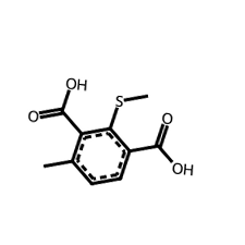 CSc1c(C(=O)O)ccc(C)c1C(=O)O